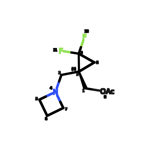 CC(=O)OC[C@]1(CN2CCC2)CC1(F)F